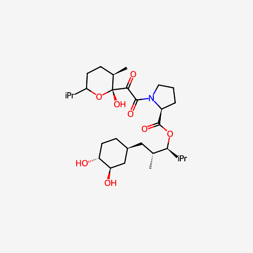 CC(C)C1CC[C@@H](C)[C@](O)(C(=O)C(=O)N2CCC[C@H]2C(=O)O[C@@H](C(C)C)[C@H](C)C[C@@H]2CC[C@@H](O)[C@H](O)C2)O1